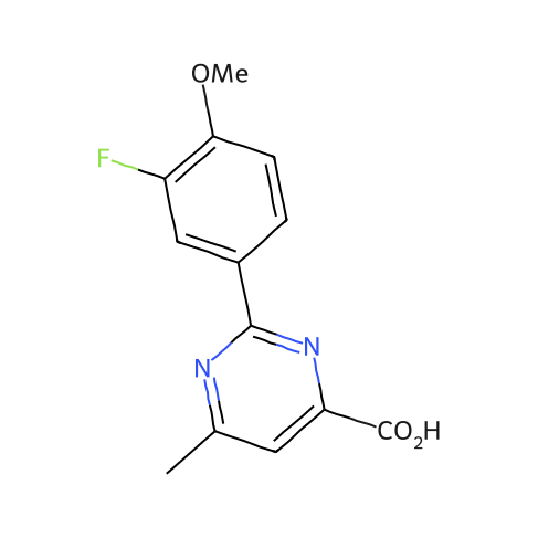 COc1ccc(-c2nc(C)cc(C(=O)O)n2)cc1F